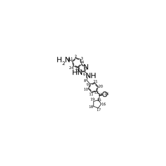 Nc1ccc2nc(NCc3ccc(C(=O)C4CCCC4)cc3)[nH]c2c1